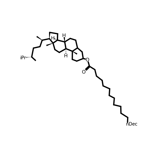 CCCCCCCCCCCCCCCCCCCCCC(=O)OC1CC[C@@]2(C)C(CC[C@H]3[C@@H]4CC[C@H]([C@H](C)CC[C@H](C)C(C)C)[C@@]4(C)CC[C@@H]32)C1